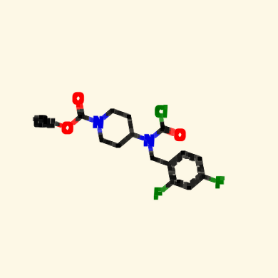 CC(C)(C)OC(=O)N1CCC(N(Cc2ccc(F)cc2F)C(=O)Cl)CC1